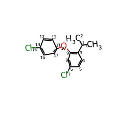 CC(C)c1ccc(Cl)cc1Oc1ccc(Cl)cc1